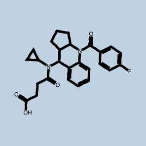 O=C(O)CCC(=O)N(C1CC1)C1c2ccccc2N(C(=O)c2ccc(F)cc2)C2CCCC21